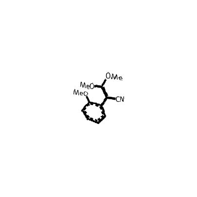 COC(OC)=C(C#N)c1ccccc1OC